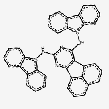 B(c1nc(Bn2c3ccccc3c3ccccc32)c2c(n1)-c1cccc3cccc-2c13)n1c2ccccc2c2ccccc21